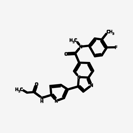 CCC(=O)Nc1ccc(-c2cnc3ccc(C(=O)N(C)c4ccc(F)c(C)c4)cn23)cn1